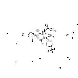 CC(=O)N1CC2(C1)C(=O)N(c1ccc(Cl)cc1F)CC(=O)N2[C@H](C)c1ccc(C(F)(F)F)cc1